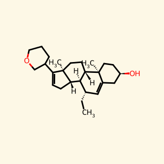 CC[C@H]1C=C2C[C@H](O)CC[C@]2(C)[C@H]2CC[C@]3(C)C(C4CCCOC4)=CC[C@H]3[C@H]12